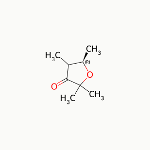 CC1C(=O)C(C)(C)O[C@@H]1C